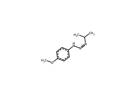 COc1ccc(N/N=N\C(C)C)cc1